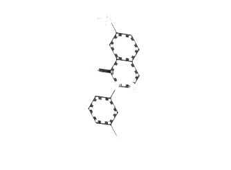 Nc1ccc2cnn(-c3cccc(F)c3)c(=O)c2c1